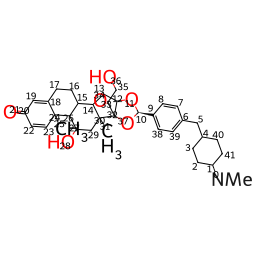 CNC1CCC(Cc2ccc([C@@H]3OC4CC5C6CCC7=CC(=O)C=CC7(C)C6C(O)CC5(C)C4(C(=O)CO)O3)cc2)CC1